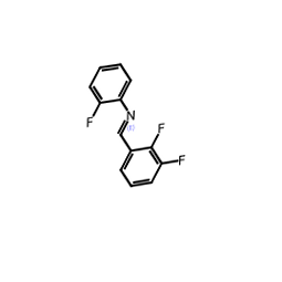 Fc1ccccc1/N=C/c1cccc(F)c1F